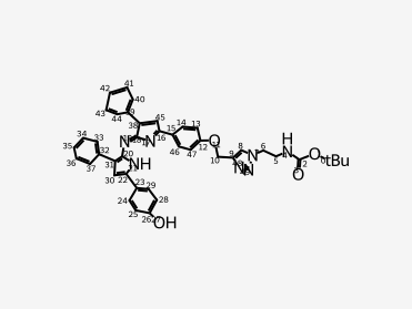 CC(C)(C)OC(=O)NCCn1cc(COc2ccc(C3=N/C(=N\c4[nH]c(-c5ccc(O)cc5)cc4-c4ccccc4)C(c4ccccc4)=C3)cc2)nn1